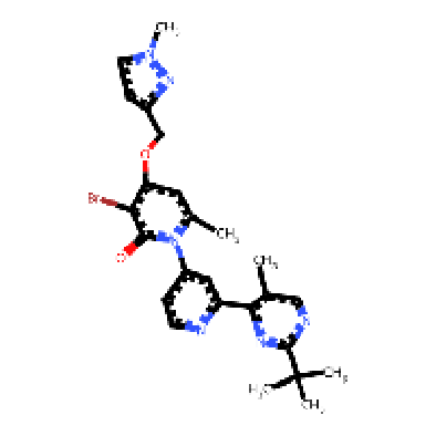 Cc1cnc(C(C)(C)C)nc1-c1cc(-n2c(C)cc(OCc3ccn(C)n3)c(Br)c2=O)ccn1